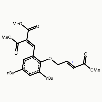 CCCCc1cc(C=C(C(=O)OC)C(=O)OC)c(OC/C=C/C(=O)OC)c(CCCC)c1